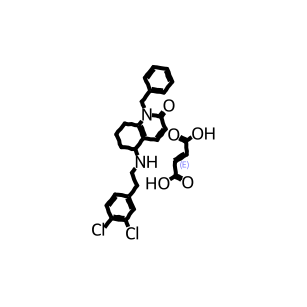 O=C(O)/C=C/C(=O)O.O=c1ccc2c(n1Cc1ccccc1)CCCC2NCCc1ccc(Cl)c(Cl)c1